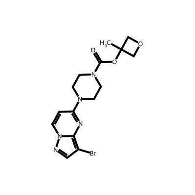 CC1(OC(=O)N2CCN(c3ccn4ncc(Br)c4n3)CC2)COC1